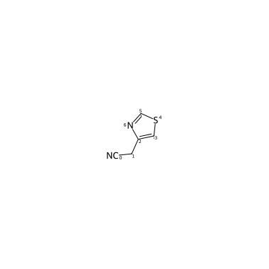 N#CCc1[c]s[c]n1